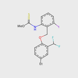 CCc1ccc(OCc2c(I)cccc2NC(=S)OC)c(C(F)F)c1